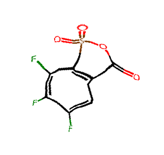 O=C1OS(=O)(=O)c2c1cc(F)c(F)c2F